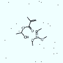 C=C(C)C(=O)OC(C)O.CO[SiH](OC)OC